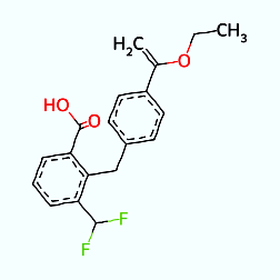 C=C(OCC)c1ccc(Cc2c(C(=O)O)cccc2C(F)F)cc1